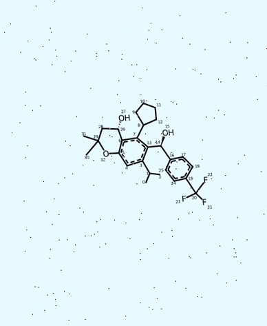 CC(C)c1cc2c(c(C3CCCC3)c1[C@@H](O)c1ccc(C(F)(F)F)cc1)[C@@H](O)CC(C)(C)O2